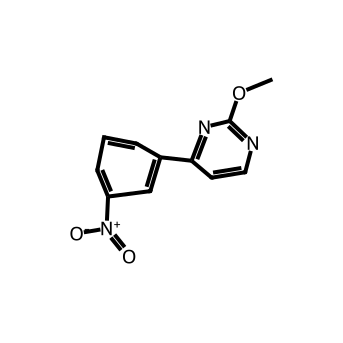 COc1nccc(-c2cccc([N+](=O)[O-])c2)n1